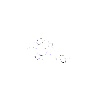 CC[C@@H](NC(O)N1C(=O)[C@H](Cc2ccnc(N)c2)[C@H]1C(=O)N(C)c1nccn1C)c1ccc(F)cc1